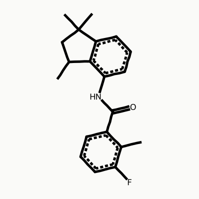 Cc1c(F)cccc1C(=O)Nc1cccc2c1C(C)CC2(C)C